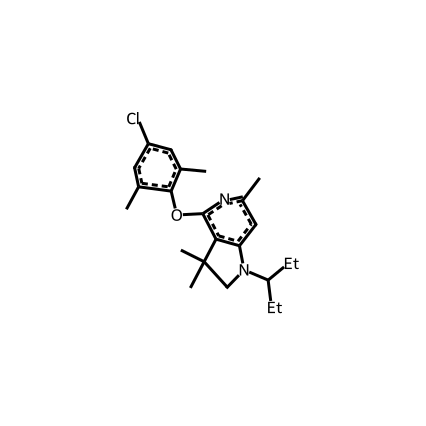 CCC(CC)N1CC(C)(C)c2c1cc(C)nc2Oc1c(C)cc(Cl)cc1C